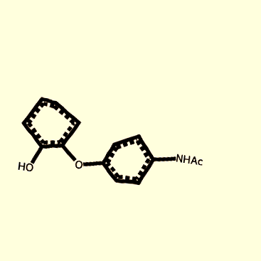 CC(=O)Nc1ccc(Oc2ccccc2O)cc1